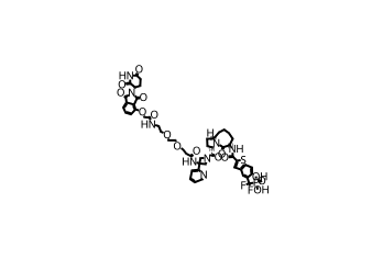 O=C(COc1cccc2c1C(=O)N(C1CCC(=O)NC1=O)C2=O)NCCOCCOCCC(=O)NC1(c2ccccn2)CN(C(=O)[C@@H]2CC[C@H]3CCCC[C@H](NC(=O)c4cc5cc(C(F)(F)P(=O)(O)O)ccc5s4)C(=O)N32)C1